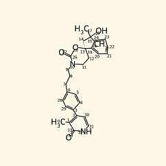 Cc1c(-c2ccc(CCCN3CC[C@](CC(C)(C)O)(c4ccccc4)OC3=O)cc2)cc[nH]c1=O